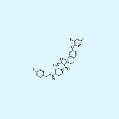 CC(C)C(C(=O)N1CCC(NCCc2ccc(F)cc2)CC1)N1CCc2ccc(Oc3ccc(F)cc3F)cc2C1